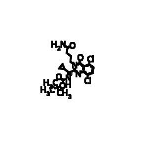 CC(C)(C)OC(=O)N[C@H](c1nc2c(Cl)ccc(Cl)c2c(=O)n1CCCC(N)=O)C1CC1